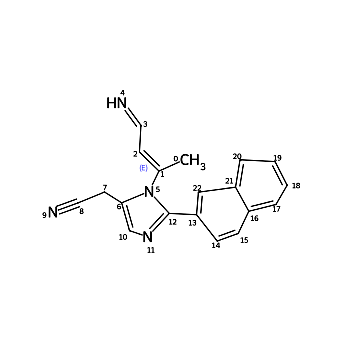 C/C(=C\C=N)n1c(CC#N)cnc1-c1ccc2ccccc2c1